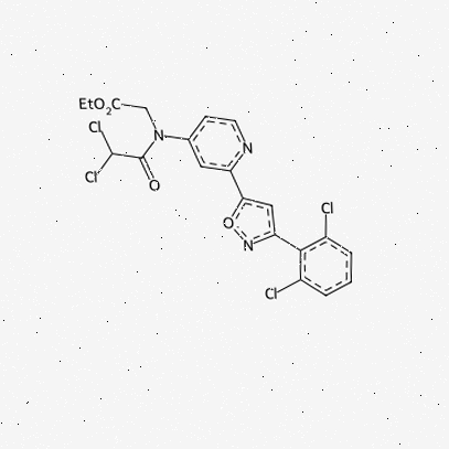 CCOC(=O)CN(C(=O)C(Cl)Cl)c1ccnc(-c2cc(-c3c(Cl)cccc3Cl)no2)c1